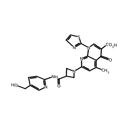 Cc1cc(N2CC(C(=O)Nc3ccc(CO)cn3)C2)nc2c1c(=O)c(C(=O)O)cn2-c1nccs1